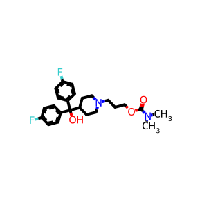 CN(C)C(=O)OCCCN1CCC(C(O)(c2ccc(F)cc2)c2ccc(F)cc2)CC1